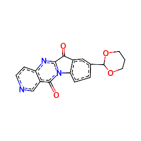 O=C1c2cc(C3OCCCO3)ccc2-n2c1nc1ccncc1c2=O